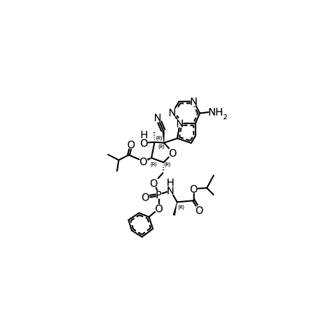 CC(C)OC(=O)[C@@H](C)NP(=O)(OC[C@H]1O[C@@](C#N)(c2ccc3c(N)ncnn23)[C@](C)(O)[C@@H]1OC(=O)C(C)C)Oc1ccccc1